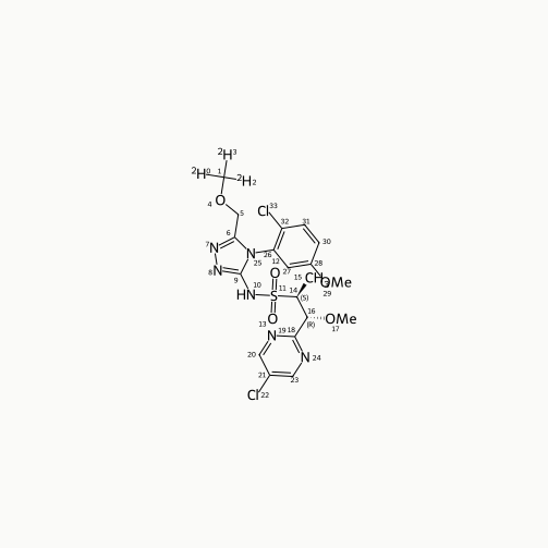 [2H]C([2H])([2H])OCc1nnc(NS(=O)(=O)[C@@H](C)[C@H](OC)c2ncc(Cl)cn2)n1-c1cc(OC)ccc1Cl